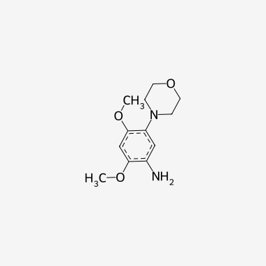 COc1cc(OC)c(N2CCOCC2)cc1N